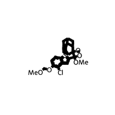 COCOc1ccc2sc(C3(OC)OOC34C3CC5CC(C3)CC4C5)cc2c1Cl